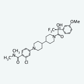 COc1cccc([C@@](O)(C(=O)N2CCC(C3CCN(c4ccc(C(=O)N(C)C)c(Cl)c4)CC3)CC2)C(F)(F)F)c1